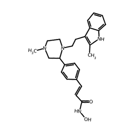 Cc1[nH]c2ccccc2c1CCN1CCN(C)CC1c1ccc(C=CC(=O)NO)cc1